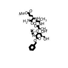 COC(=O)CC[C@@H](NC(=O)[C@H](C)NC(=O)[C@@H](C)O[C@H]1[C@H](O)[C@@H](CO)O[C@H](OCc2ccccc2)[C@@H]1N=[N+]=[N-])C(N)=O